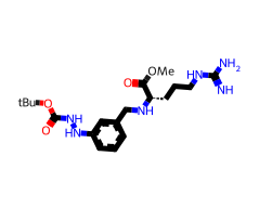 COC(=O)[C@H](CCCNC(=N)N)NCc1cccc(NNC(=O)OC(C)(C)C)c1